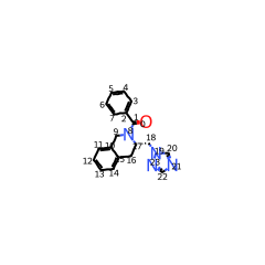 O=C(c1ccccc1)N1Cc2ccccc2C[C@H]1Cn1cncn1